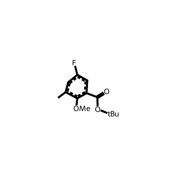 COc1c(C)cc(F)cc1C(=O)OC(C)(C)C